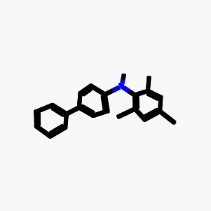 Cc1cc(C)c(N(C)c2ccc(-c3ccccc3)cc2)c(C)c1